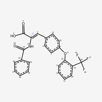 O=C(O)/C(=C/c1ccc(Oc2ccccc2C(F)(F)F)cc1)NC(=O)c1ccccc1